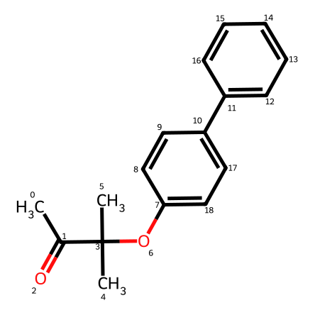 CC(=O)C(C)(C)Oc1ccc(-c2ccccc2)cc1